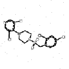 O=S(=O)(Cc1ccc(Cl)cc1Cl)N1CCN(c2c(Cl)cncc2Cl)CC1